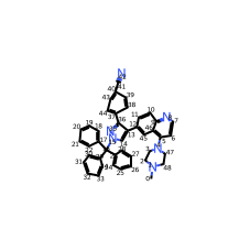 CN1CCN(c2ccnc3ccc(-c4cn(C(c5ccccc5)(c5ccccc5)c5ccccc5)nc4-c4ccc(C#N)cc4)cc23)CC1